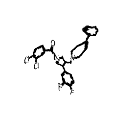 O=C(c1ccc(Cl)c(Cl)c1)N1CC(CN2CCC(c3ccccc3)CC2)C(c2ccc(F)c(F)c2)C1